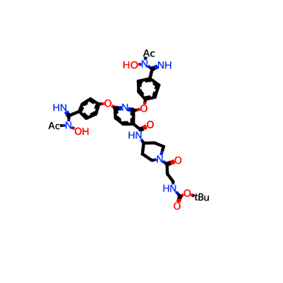 CC(=O)N(O)C(=N)c1ccc(Oc2ccc(C(=O)NC3CCN(C(=O)CCNC(=O)OC(C)(C)C)CC3)c(Oc3ccc(C(=N)N(O)C(C)=O)cc3)n2)cc1